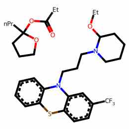 CCCC1(OC(=O)CC)CCCO1.CCOC1CCCCN1CCCN1c2ccccc2Sc2ccc(C(F)(F)F)cc21